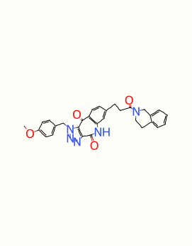 COc1ccc(Cn2nnc3c(=O)[nH]c4cc(CCC(=O)N5CCc6ccccc6C5)ccc4c(=O)c32)cc1